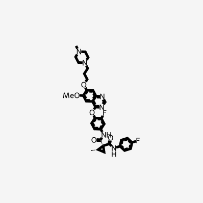 COc1cc2c(Oc3ccc(NC(=O)[C@]4(C(=O)Nc5ccc(F)cc5)C[C@@H]4C)cc3F)ncnc2cc1OCCCN1CCN(C)CC1